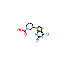 O=C(O)N1CCCC(n2cnc3c(Cl)nc(Cl)nc32)C1